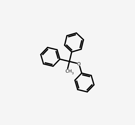 CC(Oc1ccccc1)(c1ccccc1)c1ccccc1